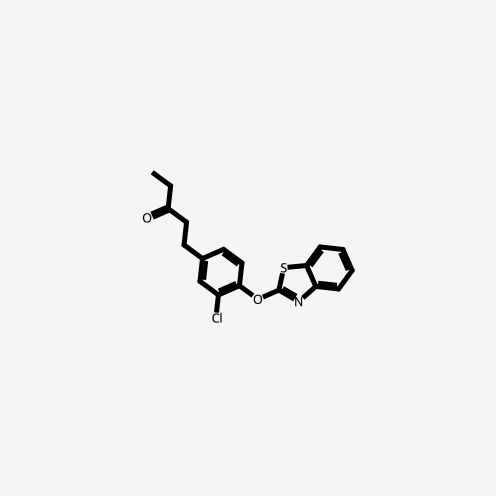 CCC(=O)CCc1ccc(Oc2nc3ccccc3s2)c(Cl)c1